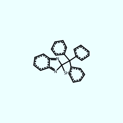 SC1(C(c2ccccc2)(c2ccccc2)c2ccccc2)N=c2ccccc2=N1